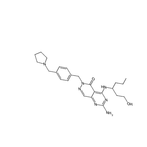 CCCC(CCO)Nc1nc(N)nc2cnn(Cc3ccc(CN4CCCC4)cc3)c(=O)c12